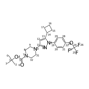 CC(C)(C)OC(=O)N1CCN(c2cc(C3CCC3)n(-c3ccc(OC(F)(F)F)cc3)n2)CC1